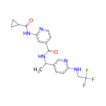 CC(NC(=O)c1ccnc(NC(=O)C2CC2)c1)c1ccc(NCC(F)(F)F)nc1